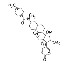 CC(=O)OC1CC2(O)C3CCC4CC(N(C)C(=O)N5CCN(C)CC5)CCC4(C)C3CCC2(C)C1c1ccc(=O)oc1